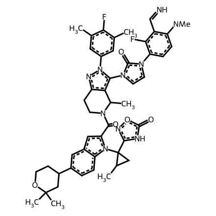 CNc1ccc(-n2ccn(-c3c4c(nn3-c3cc(C)c(F)c(C)c3)CCN(C(=O)c3cc5cc(C6CCOC(C)(C)C6)ccc5n3C3(c5noc(=O)[nH]5)CC3C)C4C)c2=O)c(F)c1C=N